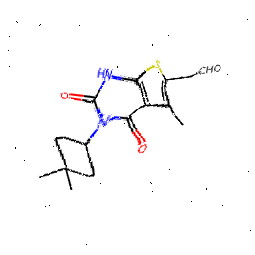 Cc1c(C=O)sc2[nH]c(=O)n(C3CC(C)(C)C3)c(=O)c12